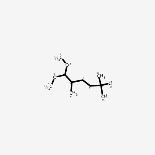 COC(OC)C(C)CCC(C)(C)Cl